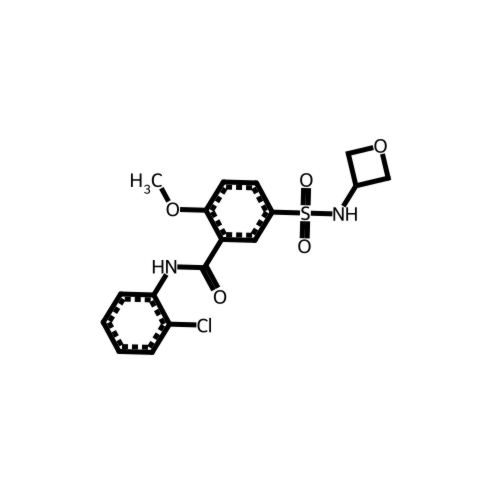 COc1ccc(S(=O)(=O)NC2COC2)cc1C(=O)Nc1ccccc1Cl